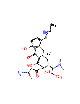 CN(C)C(CO)[C@@H]1C[C@@H]2Cc3c(CNCC(C)(C)C)ccc(O)c3C(=O)C2=C(O)[C@]1(O)C(=O)CC(N)=O